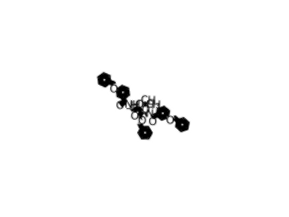 CC1(C)O[C@@H]2[C@@H](CNC(=O)c3cccc(OCc4ccccc4)c3)O[C@@H](OCc3ccccc3)[C@]2(CNC(=O)c2cccc(OCc3ccccc3)c2)O1